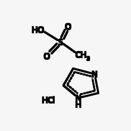 CS(=O)(=O)O.Cl.c1c[nH]cn1